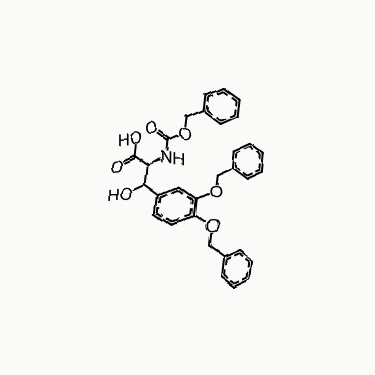 O=C(N[C@H](C(=O)O)C(O)c1ccc(OCc2ccccc2)c(OCc2ccccc2)c1)OCc1ccccc1